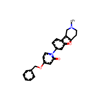 CCCN1CCc2oc3cc(-n4ccc(OCc5ccccc5)cc4=O)ccc3c2C1